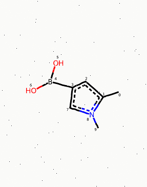 Cc1cc(B(O)O)cn1C